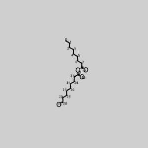 CCCCCCCCC(=O)OC(=O)CCCCCCCC=O